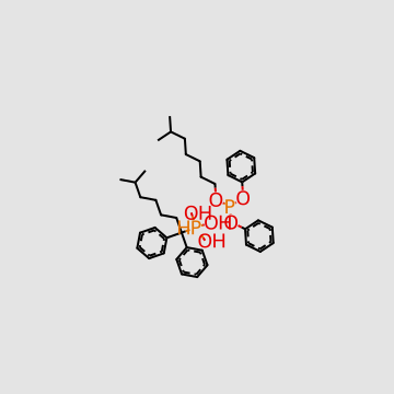 CC(C)CCCCC(c1ccccc1)(c1ccccc1)[PH](O)(O)O.CC(C)CCCCCOP(Oc1ccccc1)Oc1ccccc1